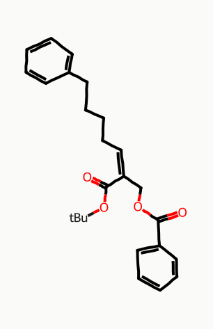 CC(C)(C)OC(=O)/C(=C\CCCCc1ccccc1)COC(=O)c1ccccc1